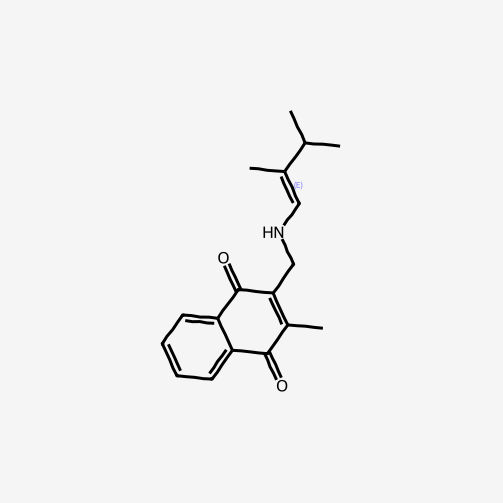 CC1=C(CN/C=C(\C)C(C)C)C(=O)c2ccccc2C1=O